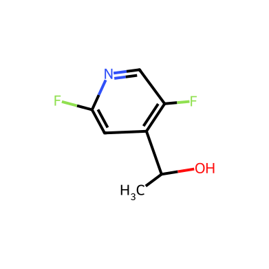 CC(O)c1cc(F)ncc1F